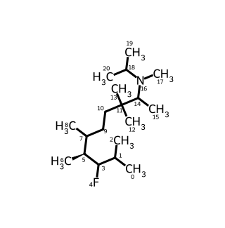 CC(C)C(F)[C@@H](C)C(C)CCC(C)(C)C(C)N(C)C(C)C